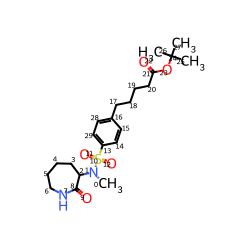 CN(C1CCCCNC1=O)S(=O)(=O)c1ccc(CCCCC(=O)OC(C)(C)C)cc1